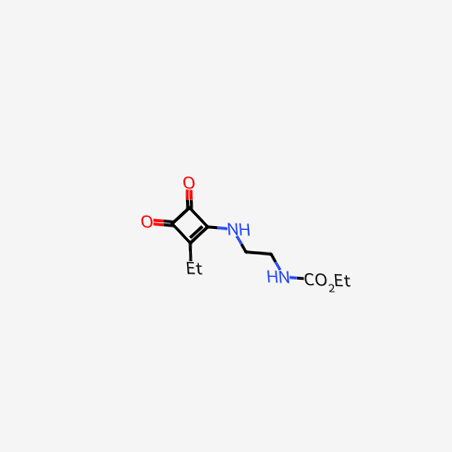 CCOC(=O)NCCNc1c(CC)c(=O)c1=O